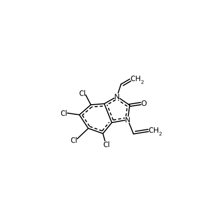 C=Cn1c(=O)n(C=C)c2c(Cl)c(Cl)c(Cl)c(Cl)c21